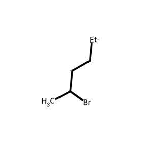 C[CH]C[CH]C(C)Br